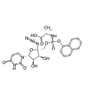 C[C@H](N[P@@](=O)(OC[C@@]1(N=[N+]=[N-])O[C@@H](n2ccc(=O)[nH]c2=O)[C@H](O)[C@@H]1O)Oc1cccc2ccccc12)C(=O)O